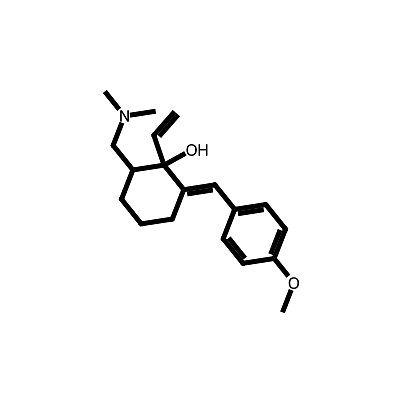 C=CC1(O)C(=Cc2ccc(OC)cc2)CCCC1CN(C)C